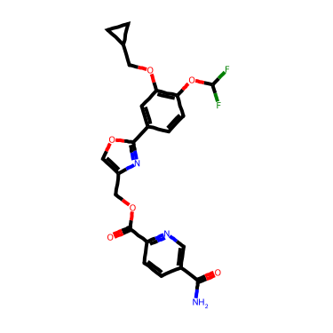 NC(=O)c1ccc(C(=O)OCc2coc(-c3ccc(OC(F)F)c(OCC4CC4)c3)n2)nc1